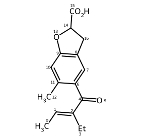 CC=C(CC)C(=O)c1cc2c(cc1C)OC(C(=O)O)C2